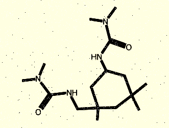 CN(C)C(=O)NCC1(C)CC(NC(=O)N(C)C)CC(C)(C)C1